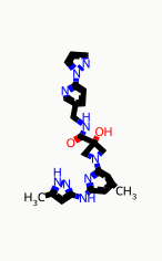 Cc1cc(Nc2cc(C)[nH]n2)nc(N2CC(O)(C(=O)NCc3ccc(-n4cccn4)nc3)C2)c1